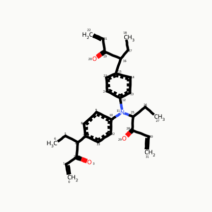 C=CC(=O)C(CC)c1ccc(N(c2ccc(C(CC)C(=O)C=C)cc2)C(CC)C(=O)C=C)cc1